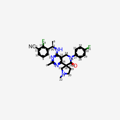 Cc1nc(N[C@H](C)c2cccc(C#N)c2F)c2c(n1)C1(CCN(C)C1)C(=O)N(c1ccc(F)cc1)C2